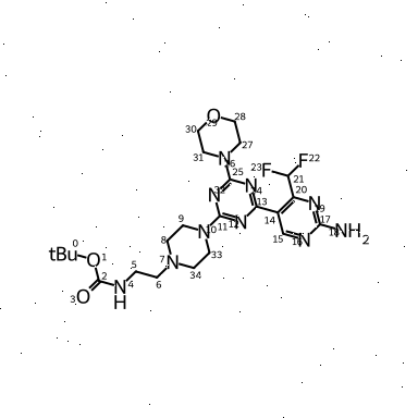 CC(C)(C)OC(=O)NCCN1CCN(c2nc(-c3cnc(N)nc3C(F)F)nc(N3CCOCC3)n2)CC1